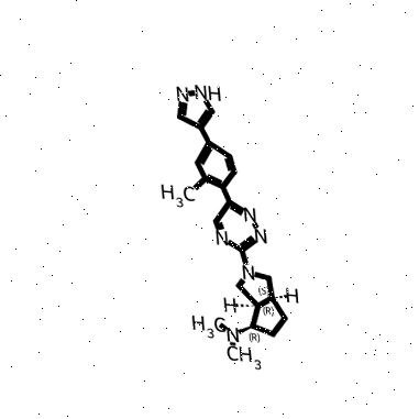 Cc1cc(-c2cn[nH]c2)ccc1-c1cnc(N2C[C@H]3CC[C@@H](N(C)C)[C@H]3C2)nn1